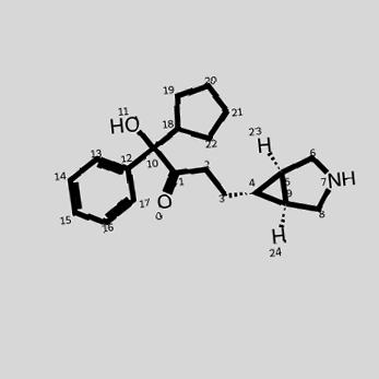 O=C(CC[C@@H]1[C@H]2CNC[C@@H]12)C(O)(c1ccccc1)C1CCCC1